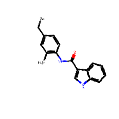 CC(=O)Cc1ccc(NC(=O)c2c[nH]c3ccccc23)c(C)c1